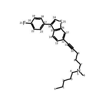 CCCCCN(C)CCCC#Cc1ccc2c(-c3ccc(F)cc3)csc2c1